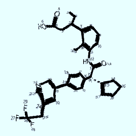 CCC(CC(=O)O)c1cccc(NC(=O)[C@@H](c2ccc(-c3cncc(CC(F)(F)F)c3)cc2)C2CCCC2)c1C